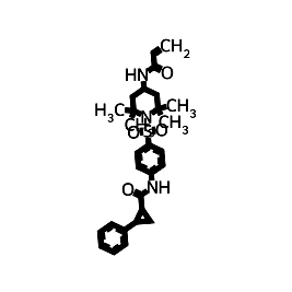 C=CC(=O)NC1CC(C)(C)N(S(=O)(=O)c2ccc(NC(=O)C3CC3c3ccccc3)cc2)C(C)(C)C1